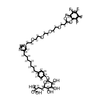 O=C(CCOCCOCCOCCOCCn1cc(CCCCCCCc2ccc(O[C@H]3O[C@H](CCP(=O)(O)O)[C@@H](O)[C@H](O)[C@@H]3O)cc2)nn1)Oc1c(F)c(F)c(F)c(F)c1F